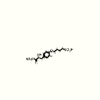 CNC(=O)[C@@H](N)Cc1ccc(OCCCCS(=O)(=O)O)cc1